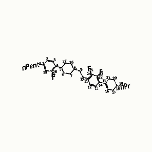 CCCCCc1ccc(C2CCC(CCc3ccc(C4=CCC(CCC)CC4)c(F)c3F)CC2)c(F)c1